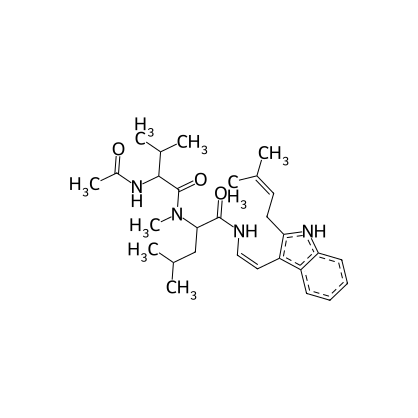 CC(=O)NC(C(=O)N(C)C(CC(C)C)C(=O)N/C=C\c1c(CC=C(C)C)[nH]c2ccccc12)C(C)C